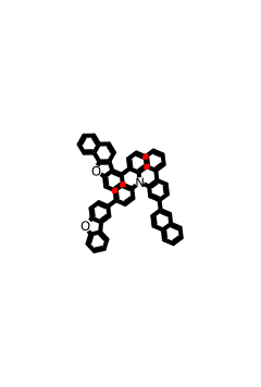 c1ccc(-c2ccc(-c3ccc4ccccc4c3)cc2N(c2ccc(-c3ccc4oc5ccccc5c4c3)cc2)c2ccccc2-c2cccc3oc4c5ccccc5ccc4c23)cc1